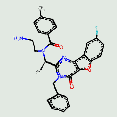 CC(C)[C@H](c1nc2c(oc3ccc(F)cc32)c(=O)n1Cc1ccccc1)N(CCN)C(=O)c1ccc(C(F)(F)F)cc1